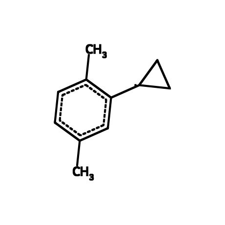 Cc1ccc(C)c([C]2CC2)c1